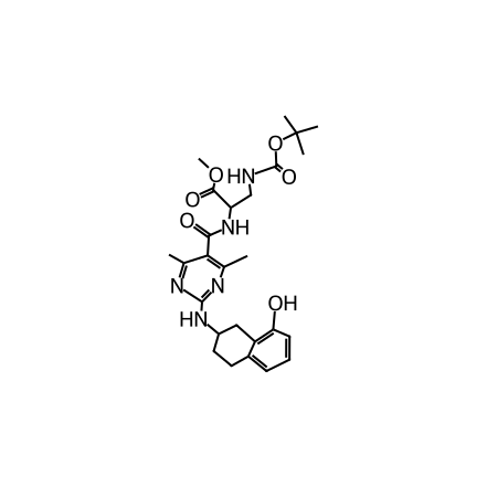 COC(=O)C(CNC(=O)OC(C)(C)C)NC(=O)c1c(C)nc(NC2CCc3cccc(O)c3C2)nc1C